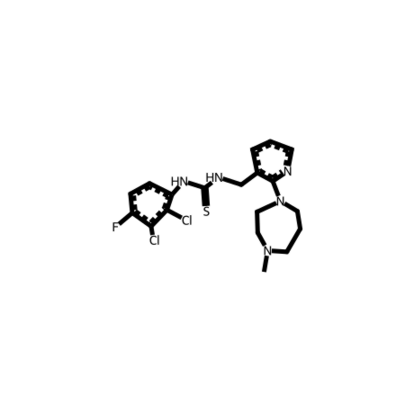 CN1CCCN(c2ncccc2CNC(=S)Nc2ccc(F)c(Cl)c2Cl)CC1